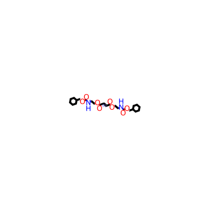 O=C(/C=C/C(=O)OCCNC(=O)OCC1CCCCC1)OCCNC(=O)OCC1CCCCC1